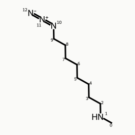 CNCCCCCCCCN=[N+]=[N-]